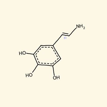 N/C=C/c1cc(O)c(O)c(O)c1